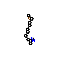 c1cc(-c2ccc3cc(-c4ccc5cc(-c6cccc7c6sc6ccccc67)ccc5c4)ccc3c2)cc(-c2ccc3c4ccccc4c4nccnc4c3c2)c1